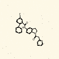 O=C(Nc1ccc2c(c1)CCN2C(=O)Cc1ccccn1)c1cc(F)ccc1-c1ccccc1